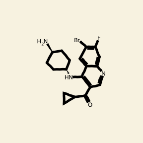 N[C@H]1CC[C@H](Nc2c(C(=O)C3CC3)cnc3cc(F)c(Br)cc23)CC1